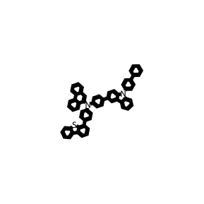 c1ccc(-c2ccc(-n3c4ccccc4c4cc(-c5ccc(N(c6ccc(-c7cccc8c7sc7ccccc78)cc6)c6cc7ccccc7c7ccccc67)cc5)ccc43)cc2)cc1